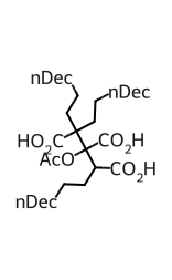 CCCCCCCCCCCCC(C(=O)O)C(OC(C)=O)(C(=O)O)C(CCCCCCCCCCCC)(CCCCCCCCCCCC)C(=O)O